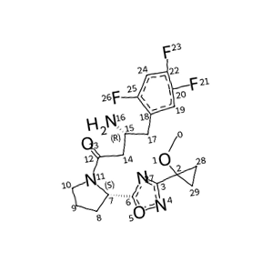 COC1(c2noc([C@@H]3CCCN3C(=O)C[C@H](N)Cc3cc(F)c(F)cc3F)n2)CC1